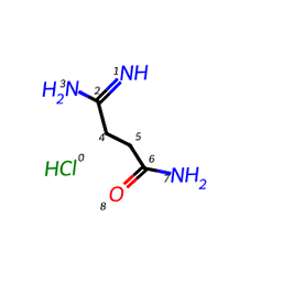 Cl.N=C(N)CCC(N)=O